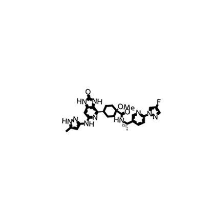 CO[C@]1(C(=O)N[C@@H](C)c2ccc(-n3cc(F)cn3)nc2)CC[C@H](c2nc(Nc3cc(C)[nH]n3)cc3[nH]c(=O)[nH]c32)CC1